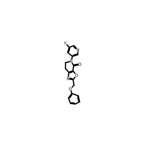 O=C1c2oc(COc3ccccc3)nc2CCN1c1cncc(F)c1